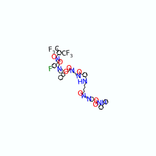 CN(CCN1CCC(OC(=O)Nc2ccccc2-c2ccccc2)CC1)C(=O)CCCCCNCc1cccc(C(=O)N(C)CCCN(C)C(=O)CO[C@H]2CC3=C(CCC=C3)C23CCN(CC[C@@]2(c4ccc(F)cc4)CN(C(=O)c4cc(C(F)(F)F)cc(C(F)(F)F)c4)CO2)CC3)c1